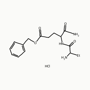 CCC(N)C(=O)NC(CCC(=O)OCc1ccccc1)C(N)=O.Cl